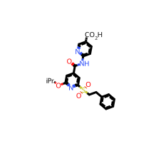 CC(C)Oc1cc(C(=O)Nc2ccc(C(=O)O)cn2)cc(S(=O)(=O)CCc2ccccc2)n1